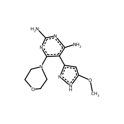 COc1cc(-c2c(N)nc(N)nc2N2CCOCC2)n[nH]1